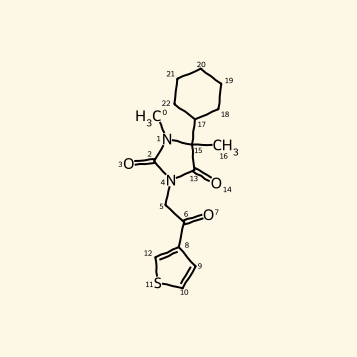 CN1C(=O)N(CC(=O)c2ccsc2)C(=O)C1(C)C1CCCCC1